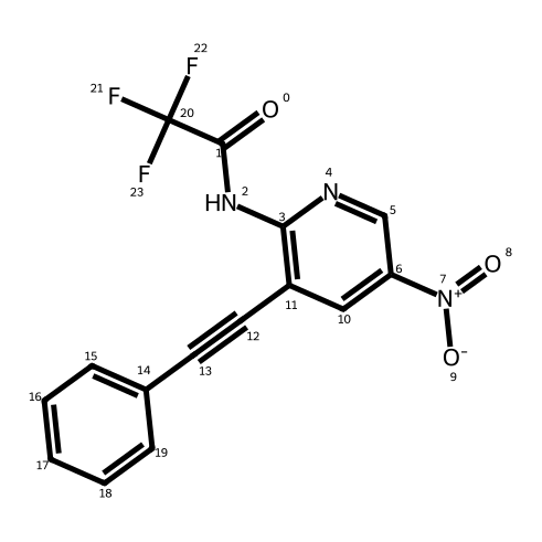 O=C(Nc1ncc([N+](=O)[O-])cc1C#Cc1ccccc1)C(F)(F)F